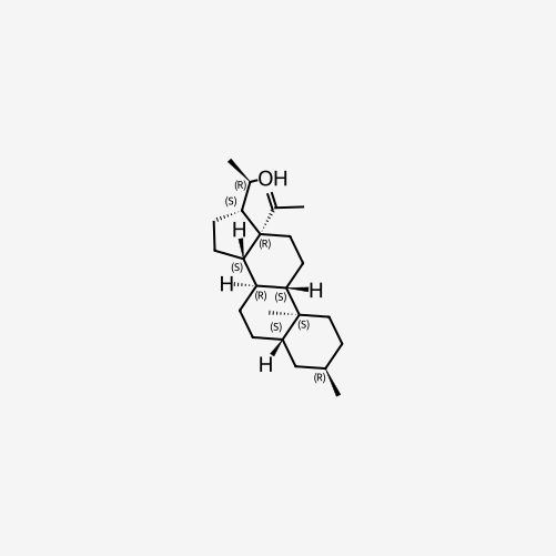 C=C(C)[C@]12CC[C@H]3[C@@H](CC[C@H]4C[C@H](C)CC[C@@]43C)[C@@H]1CC[C@@H]2[C@@H](C)O